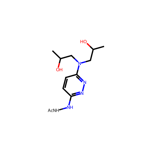 CC(=O)NNc1ccc(N(CC(C)O)CC(C)O)nn1